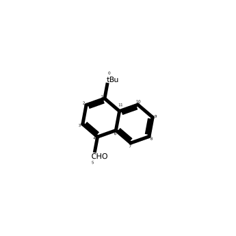 CC(C)(C)c1ccc(C=O)c2ccccc12